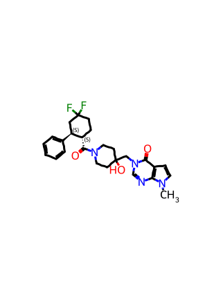 Cn1ccc2c(=O)n(CC3(O)CCN(C(=O)[C@H]4CCC(F)(F)C[C@@H]4c4ccccc4)CC3)cnc21